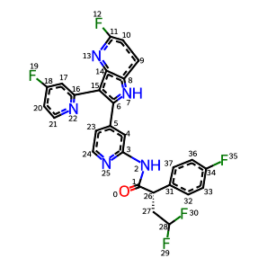 O=C(Nc1cc(-c2[nH]c3ccc(F)nc3c2-c2cc(F)ccn2)ccn1)[C@@H](CC(F)F)c1ccc(F)cc1